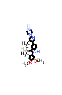 COc1ccc(-c2[nH]c3ccc(-c4cnc(N5CCNCC5)cc4C)cc3c2C(C)C)cc1OC